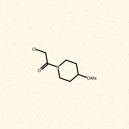 COC1CCN(C(=O)CCl)CC1